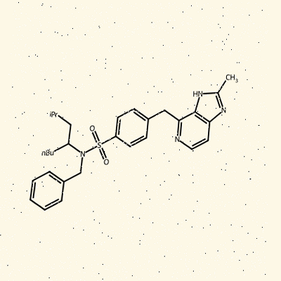 CCCCC(CC(C)C)N(Cc1ccccc1)S(=O)(=O)c1ccc(Cc2nccc3nc(C)[nH]c23)cc1